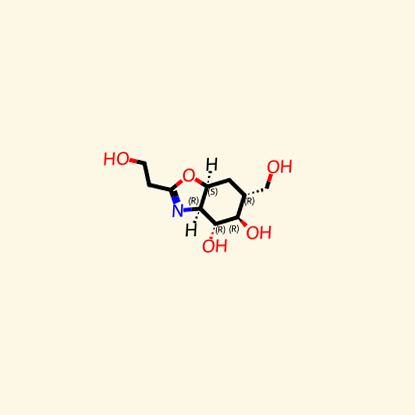 OCCC1=N[C@@H]2[C@@H](O)[C@H](O)[C@@H](CO)C[C@@H]2O1